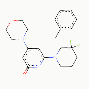 O=c1cc(N2CCOCC2)cc(N2CCCC(F)(F)[C@H]2Cc2ccccc2)[nH]1